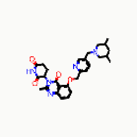 Cc1nc2cccc(OCc3ccc(CN4CC(C)CC(C)C4)cn3)c2c(=O)n1C1CCC(=O)NC1=O